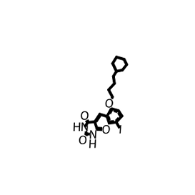 O=C1NC(=O)C(=Cc2cc(I)ccc2OCCCCC2CCCCC2)C(=O)N1